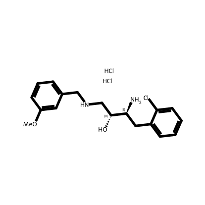 COc1cccc(CNC[C@@H](O)[C@@H](N)Cc2ccccc2Cl)c1.Cl.Cl